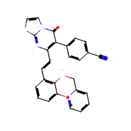 COc1cccc(C=Cc2nc3sccn3c(=O)c2-c2ccc(C#N)cc2)c1OCc1ccccn1